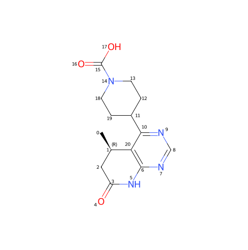 C[C@@H]1CC(=O)Nc2ncnc(C3CCN(C(=O)O)CC3)c21